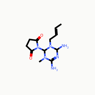 CC=CCN1C(N)N=C(N)N(C)C1N1C(=O)CCC1=O